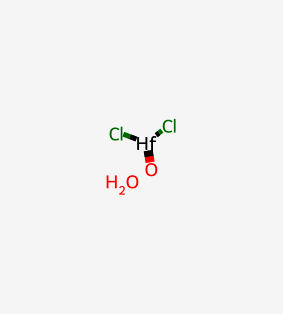 O.[O]=[Hf]([Cl])[Cl]